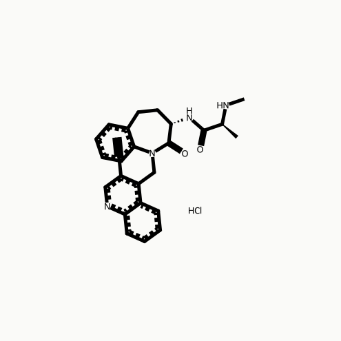 C#Cc1cnc2ccccc2c1CN1C(=O)[C@@H](NC(=O)[C@H](C)NC)CCc2ccccc21.Cl